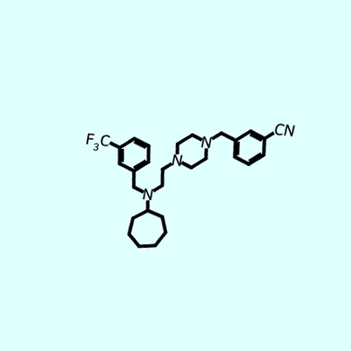 N#Cc1cccc(CN2CCN(CCN(Cc3cccc(C(F)(F)F)c3)C3CCCCCC3)CC2)c1